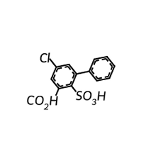 O=C(O)c1cc(Cl)cc(-c2ccccc2)c1S(=O)(=O)O